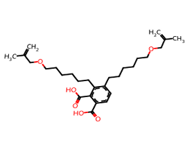 C=C(C)COCCCCCCc1ccc(C(=O)O)c(C(=O)O)c1CCCCCCOCC(=C)C